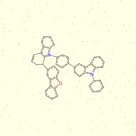 C1=Cc2c(n(-c3ccc(-c4ccc5c(c4)c4ccccc4n5-c4ccccc4)cc3)c3ccccc23)C(c2ccc3oc4ccccc4c3c2)C1